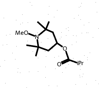 CON1C(C)(C)CC(OC(=O)C(C)C)CC1(C)C